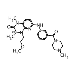 COCCN1c2nc(Nc3cccc(C(=O)N4CCN(C)CC4)c3)ccc2N(C)C(=O)[C@@H]1C